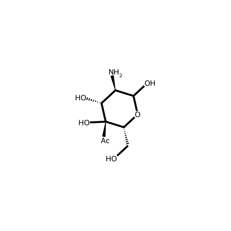 CC(=O)[C@@]1(O)[C@H](O)[C@@H](N)C(O)O[C@@H]1CO